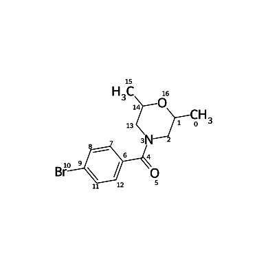 CC1CN(C(=O)c2ccc(Br)cc2)CC(C)O1